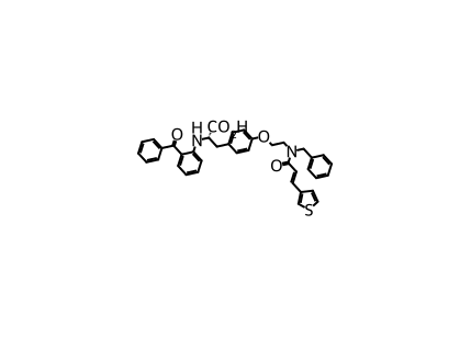 O=C(c1ccccc1)c1ccccc1N[C@@H](Cc1ccc(OCCN(Cc2ccccc2)C(=O)C=Cc2ccsc2)cc1)C(=O)O